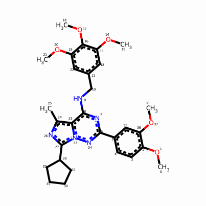 COc1ccc(-c2nc(NCc3cc(OC)c(OC)c(OC)c3)c3c(C)nc(C4CCCC4)n3n2)cc1OC